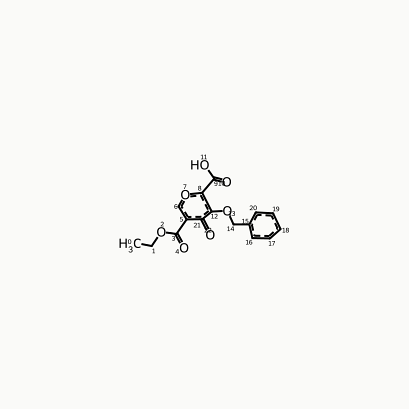 CCOC(=O)c1coc(C(=O)O)c(OCc2ccccc2)c1=O